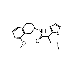 CCCC(C(=O)NC1CCc2cccc(OC)c2C1)c1cccs1